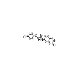 O=C1C=c2cc(NC(=O)COc3ccc(Cl)cc3)ccc2=C[N]1